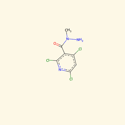 CN(N)C(=O)c1c(Cl)cc(Cl)nc1Cl